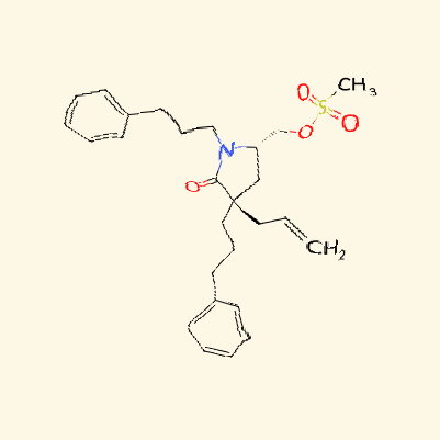 C=CC[C@]1(CCCc2ccccc2)C[C@@H](COS(C)(=O)=O)N(CCCc2ccccc2)C1=O